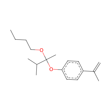 C=C(C)c1ccc(OC(C)(OCCCC)C(C)C)cc1